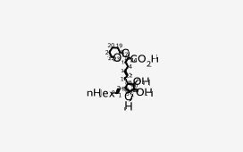 CCCCCCC=C[C@H]1[C@H](O)[C@H](O)[C@H](O)[C@@H]1CC=CCCC(OC1CCCCO1)C(=O)O